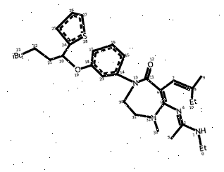 CCN/C(C)=N/C1=C(/C=C(/C)CC)C(=O)N(c2cccc(OC(CCC(C)CC)c3cccs3)c2)CCN1C